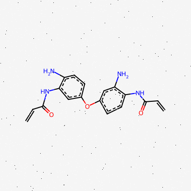 C=CC(=O)Nc1ccc(Oc2ccc(N)c(NC(=O)C=C)c2)cc1N